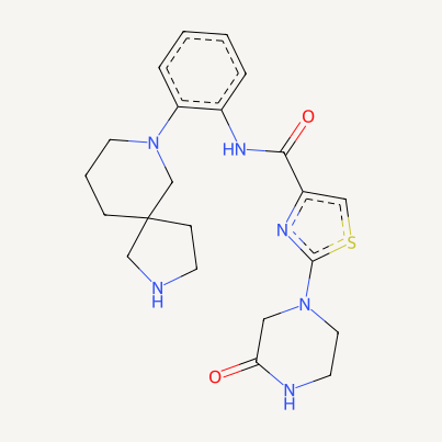 O=C1CN(c2nc(C(=O)Nc3ccccc3N3CCCC4(CCNC4)C3)cs2)CCN1